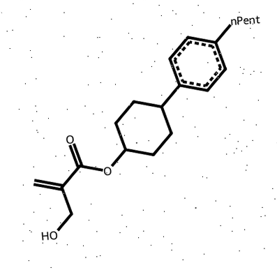 C=C(CO)C(=O)OC1CCC(c2ccc(CCCCC)cc2)CC1